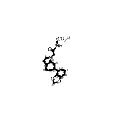 O=C(O)CNC(=O)Cn1ccc2ccc(-c3cccc4c3OCO4)cc21